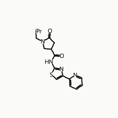 CC(C)CN1CC(C(=O)Nc2nc(-c3ccccn3)cs2)CC1=O